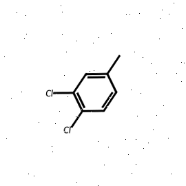 Cc1ccc(Cl)c(Cl)c1